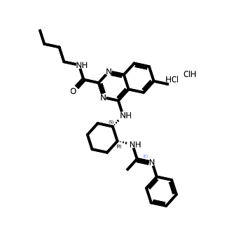 CCCCNC(=O)c1nc(N[C@H]2CCCC[C@H]2N/C(C)=N/c2ccccc2)c2cc(C)ccc2n1.Cl.Cl